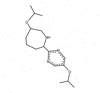 CC(C)Oc1cnc(C2CCCC(OC(C)C)CN2)nc1